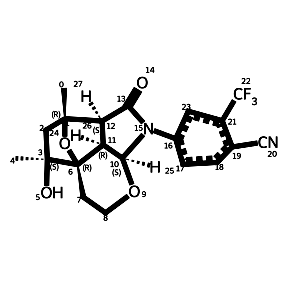 C[C@@]12C[C@](C)(O)[C@]3(CCO[C@H]4[C@@H]3[C@@H]1C(=O)N4c1ccc(C#N)c(C(F)(F)F)c1)O2